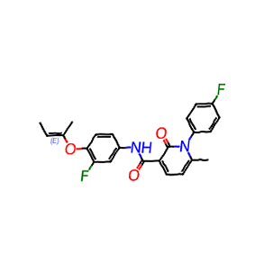 C/C=C(\C)Oc1ccc(NC(=O)c2ccc(C)n(-c3ccc(F)cc3)c2=O)cc1F